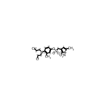 Cc1cc(CS(=O)(=O)Oc2ccc(N(CCCl)CCCl)c(C)c2)c([N+](=O)[O-])s1